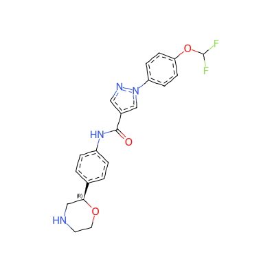 O=C(Nc1ccc([C@@H]2CNCCO2)cc1)c1cnn(-c2ccc(OC(F)F)cc2)c1